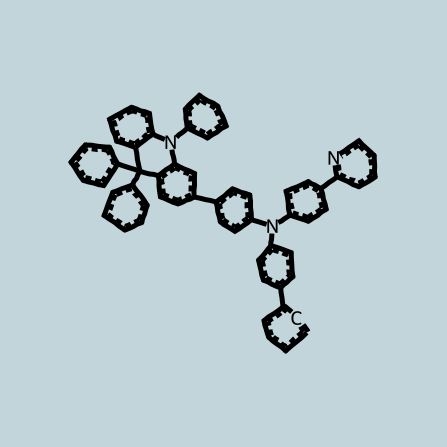 c1ccc(-c2ccc(N(c3ccc(-c4ccc5c(c4)N(c4ccccc4)c4ccccc4C5(c4ccccc4)c4ccccc4)cc3)c3ccc(-c4ccccn4)cc3)cc2)cc1